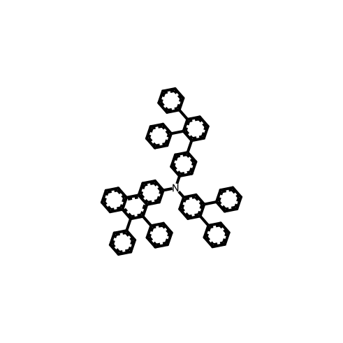 c1ccc(-c2ccc(N(c3ccc(-c4cccc(-c5ccccc5)c4-c4ccccc4)cc3)c3ccc4c(c3)c(-c3ccccc3)c(-c3ccccc3)c3ccccc34)cc2-c2ccccc2)cc1